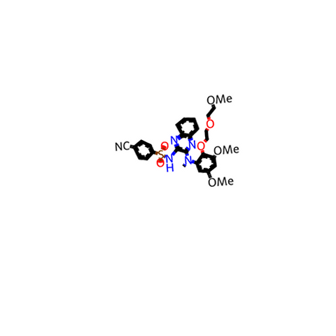 COCCOCCOc1c(OC)cc(OC)cc1N(C)c1nc2ccccc2nc1NS(=O)(=O)c1ccc(C#N)cc1